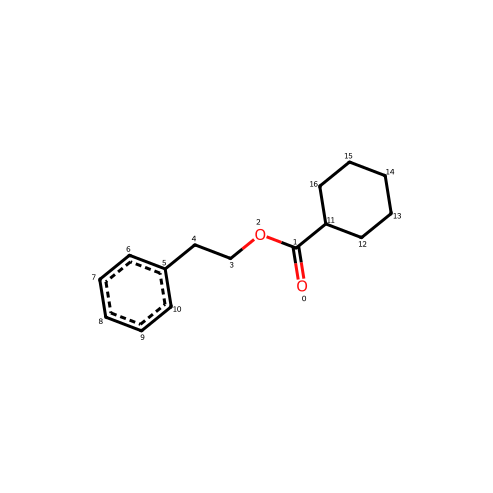 O=C(OCCc1ccccc1)C1CCCCC1